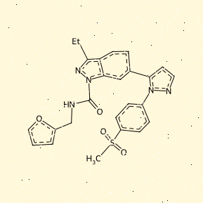 CCc1nn(C(=O)NCc2ccco2)c2cc(-c3ccnn3-c3ccc(S(C)(=O)=O)cc3)ccc12